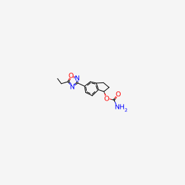 CCc1nc(-c2ccc3c(c2)CC[C@H]3OC(N)=O)no1